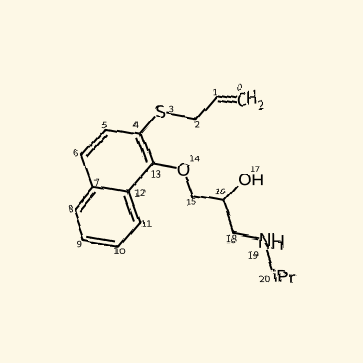 C=CCSc1ccc2ccccc2c1OCC(O)CNC(C)C